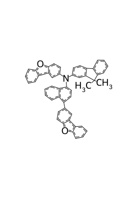 CC1(C)c2ccccc2-c2ccc(N(c3ccc4oc5ccccc5c4c3)c3ccc(-c4ccc5oc6ccccc6c5c4)c4ccccc34)cc21